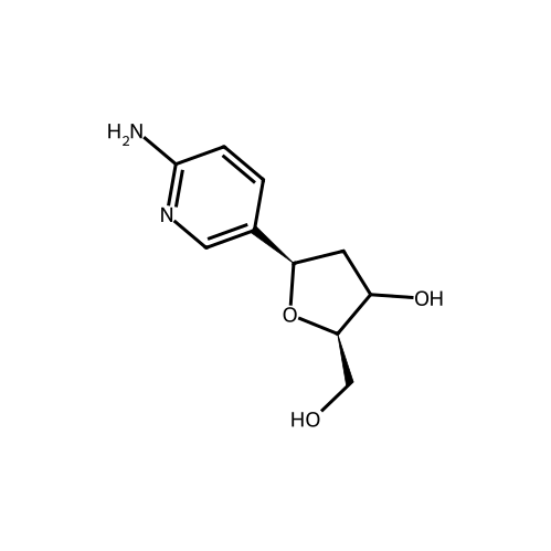 Nc1ccc([C@H]2CC(O)[C@@H](CO)O2)cn1